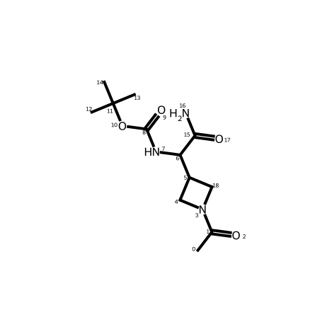 CC(=O)N1CC(C(NC(=O)OC(C)(C)C)C(N)=O)C1